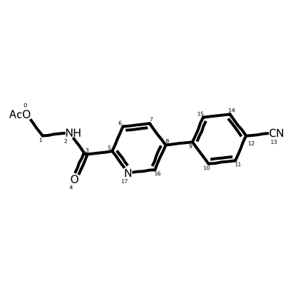 CC(=O)OCNC(=O)c1ccc(-c2ccc(C#N)cc2)cn1